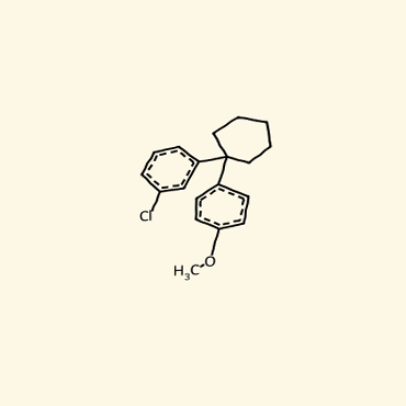 COc1ccc(C2(c3cccc(Cl)c3)CCCCC2)cc1